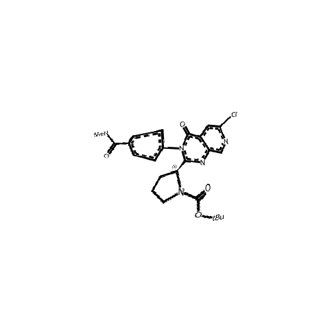 CNC(=O)c1ccc(-n2c([C@@H]3CCCN3C(=O)OC(C)(C)C)nc3cnc(Cl)cc3c2=O)cc1